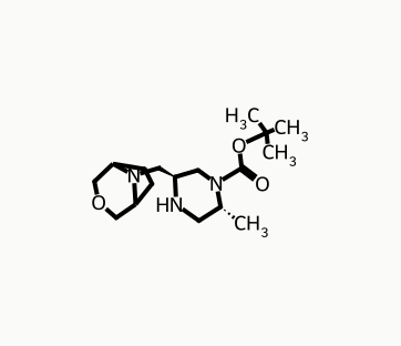 C[C@@H]1CN[C@@H](CN2C3CCC2COC3)CN1C(=O)OC(C)(C)C